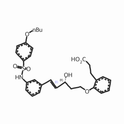 CCCCOc1ccc(S(=O)(=O)Nc2cccc(/C=C/[C@H](O)CCOc3ccccc3CCC(=O)O)c2)cc1